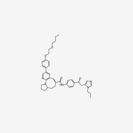 CCCCOCCOc1ccc(-c2cnc3c(c2)C=C(C(=O)Nc2ccc([S@@+]([O-])Cc4cncn4CCC)cc2)CCC2CCCN32)cc1